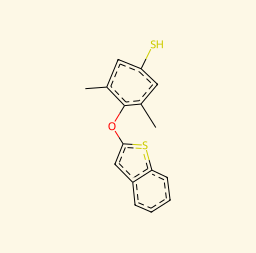 Cc1cc(S)cc(C)c1Oc1cc2ccccc2s1